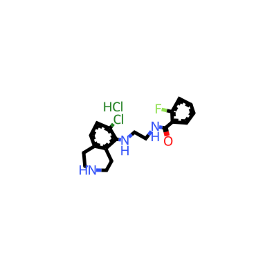 Cl.O=C(NCCNc1c(Cl)ccc2c1CCNCC2)c1ccccc1F